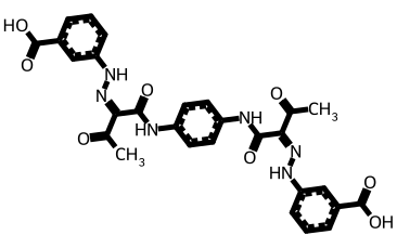 CC(=O)/C(=N/Nc1cccc(C(=O)O)c1)C(=O)Nc1ccc(NC(=O)/C(=N\Nc2cccc(C(=O)O)c2)C(C)=O)cc1